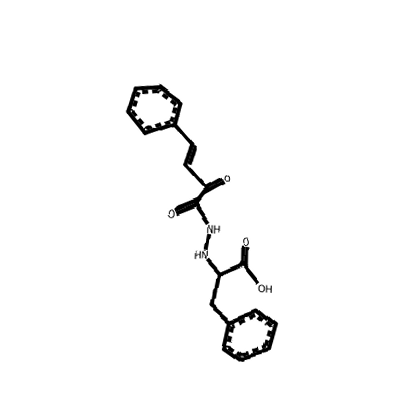 O=C(C=Cc1ccccc1)C(=O)NNC(Cc1ccccc1)C(=O)O